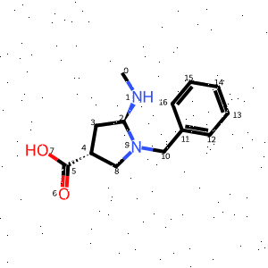 CN[C@@H]1C[C@@H](C(=O)O)CN1Cc1ccccc1